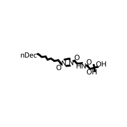 CCCCCCCCCCCCCCCCCC(=O)N1CCN(C(=O)CCNC(=O)C(O)C(C)(C)CO)CC1